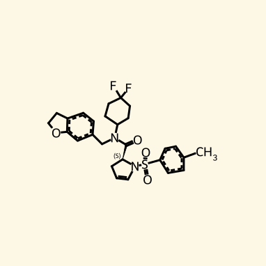 Cc1ccc(S(=O)(=O)N2C=CC[C@H]2C(=O)N(Cc2ccc3c(c2)OCC3)C2CCC(F)(F)CC2)cc1